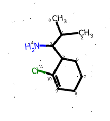 CC(C)C(N)C1CCCC=C1Cl